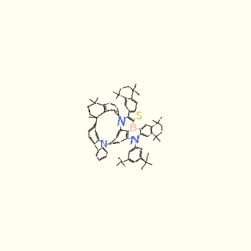 CC(C)(C)c1cc(N2c3cc4c(cc3B3c5sc6cc7c(cc6c5N5c6ccc8c(c6)C(C)(CCC8(C)C)c6ccc8c9ccccc9n(c8c6)-c6cc2c3c5c6)C(C)(C)CCC7(C)C)C(C)(C)CCC4(C)C)cc(C(C)(C)C)c1